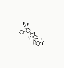 CC1=NN(c2ccc(OC(F)F)c(-c3ccccc3)c2)C(=O)C1(Cl)C(=O)Nc1cccc(C(C)(F)F)c1